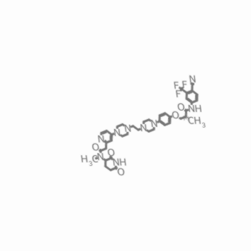 C[C@H](COc1ccc(N2CCN(CCN3CCN(c4ccnc(CC(=O)N(C)C5CCC(=O)NC5=O)c4)CC3)CC2)cc1)C(=O)Nc1ccc(C#N)c(C(F)(F)F)c1